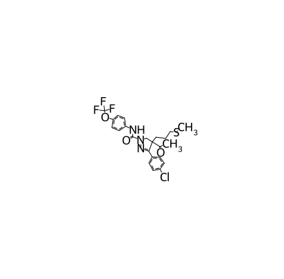 CSCCCC1(C(C)=O)CN(C(=O)Nc2ccc(OC(F)(F)F)cc2)N=C1c1ccc(Cl)cc1